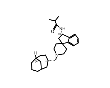 CC(C)C(=O)N[C@H]1CC2(CCN(C[C@H]3CC[C@H]4CCCC(C4)C3)CC2)c2ccccc21